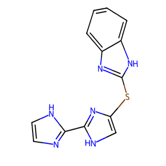 c1ccc2[nH]c(Sc3c[nH]c(-c4ncc[nH]4)n3)nc2c1